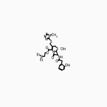 CCN(CC)CCOC(=O)C1=C(CSc2nnnn2C)CSC2C(NC(=O)Cc3ccccc3O)C(=O)N12.Cl